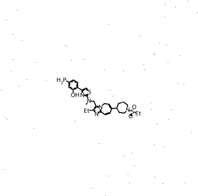 CCc1nc2n(c1CN(C)c1nc(-c3ccc(P)cc3O)cs1)CC=C(C1CCCN(S(=O)(=O)CC)CC1)C=C2